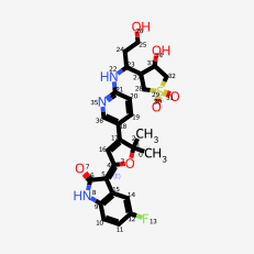 CC1(C)O/C(=C2/C(=O)Nc3ccc(F)cc32)C=C1c1ccc(NC(CCO)C2CS(=O)(=O)CC2O)nc1